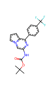 CC(C)(C)OC(=O)Nc1cn2cccc2c(-c2ccc(C(F)(F)F)cc2)n1